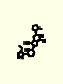 CCn1cnnc1C1=CC=CC(N2CC3=C(Cl)NC(N4CCC[C@H]4C)C=C3C2O)N1